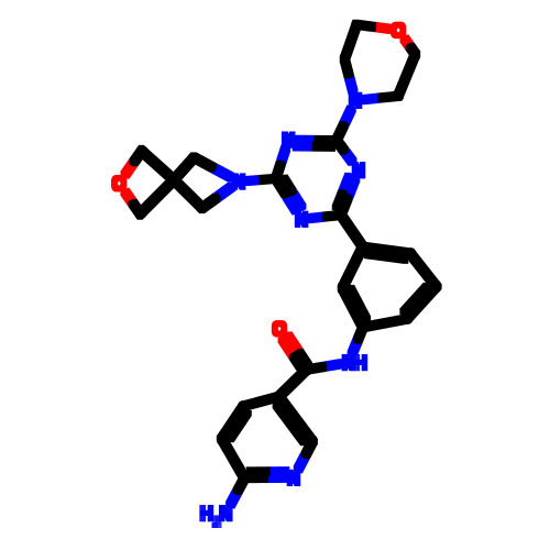 Nc1ccc(C(=O)Nc2cccc(-c3nc(N4CCOCC4)nc(N4CC5(COC5)C4)n3)c2)cn1